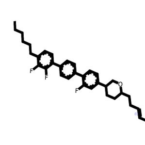 C/C=C/CCC1CCC(c2ccc(-c3ccc(-c4ccc(CCCCCC)c(F)c4F)cc3)c(F)c2)CO1